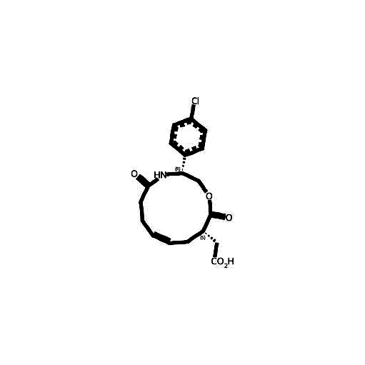 O=C(O)C[C@@H]1CC=CCCC(=O)N[C@H](c2ccc(Cl)cc2)COC1=O